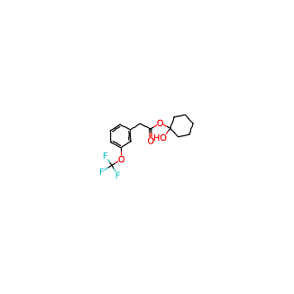 O=C(Cc1cccc(OC(F)(F)F)c1)OC1(O)CCCCC1